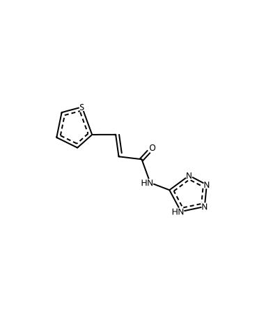 O=C(C=Cc1cccs1)Nc1nnn[nH]1